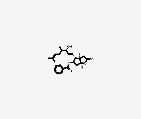 CC(C)=CCC(C)[C@@H](O)/C=C/[C@@H]1[C@H]2CC(=O)O[C@H]2C[C@H]1OC(=O)c1ccccc1